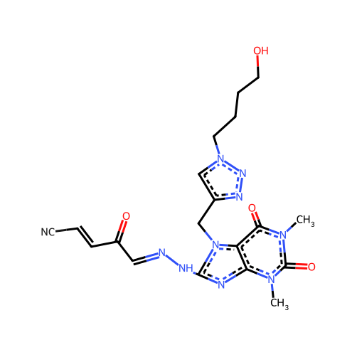 Cn1c(=O)c2c(nc(N/N=C/C(=O)/C=C/C#N)n2Cc2cn(CCCCO)nn2)n(C)c1=O